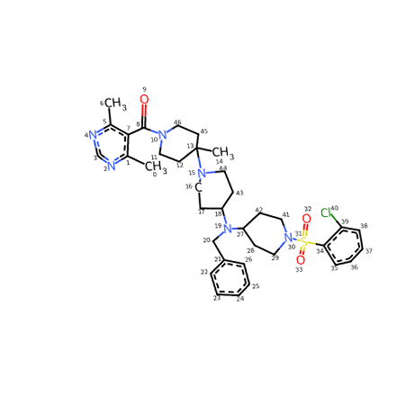 Cc1ncnc(C)c1C(=O)N1CCC(C)(N2CCC(N(Cc3ccccc3)C3CCN(S(=O)(=O)c4ccccc4Cl)CC3)CC2)CC1